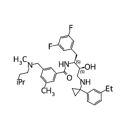 CCc1cccc(C2(NC[C@H](O)[C@H](Cc3cc(F)cc(F)c3)NC(=O)c3cc(C)cc(CN(C)CCC(C)C)c3)CC2)c1